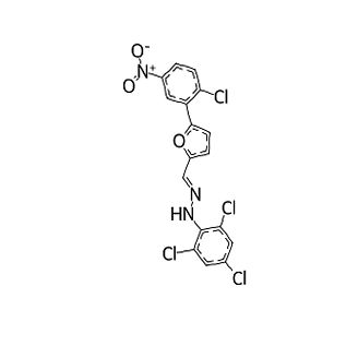 O=[N+]([O-])c1ccc(Cl)c(-c2ccc(/C=N/Nc3c(Cl)cc(Cl)cc3Cl)o2)c1